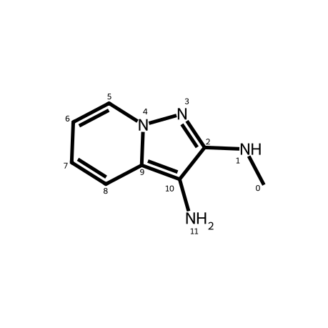 CNc1nn2ccccc2c1N